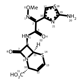 CON=C(C(=O)N[C@@H]1C(=O)N2[C@@H](C(=O)O)C=CS[C@H]12)c1csc(N)n1